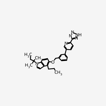 CCCc1c(OCc2cccc(-c3ccc(-c4nn[nH]n4)nc3)c2)ccc2c1ccn2C(C)(C)CC